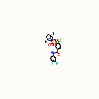 C[C@@H]1CN(C2[C@@H]3CC[C@H]2C[C@H](S(=O)(=O)c2cc(C(=O)Nc4ccc(F)c(F)c4)ccc2Cl)C3)C(=O)O1